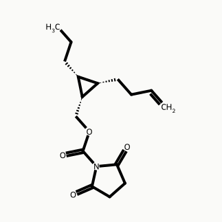 C=CCC[C@H]1[C@@H](CCC)[C@H]1COC(=O)N1C(=O)CCC1=O